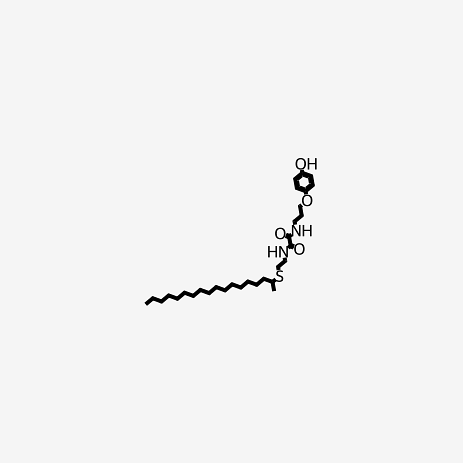 CCCCCCCCCCCCCCCCC(C)SCCNC(=O)C(=O)NCCCOc1ccc(O)cc1